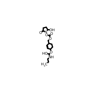 CCCNC(O)OC1C=CC(COC(=O)ON2C(=O)CCC2O)CC1